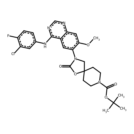 COc1cc2ncnc(Nc3ccc(F)c(Cl)c3)c2cc1N1CC2(CCN(C(=O)OC(C)(C)C)CC2)OC1=O